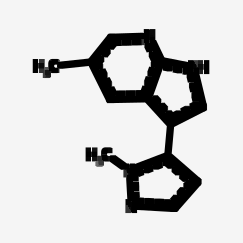 Cc1cnc2[nH]cc(-c3ccnn3C)c2c1